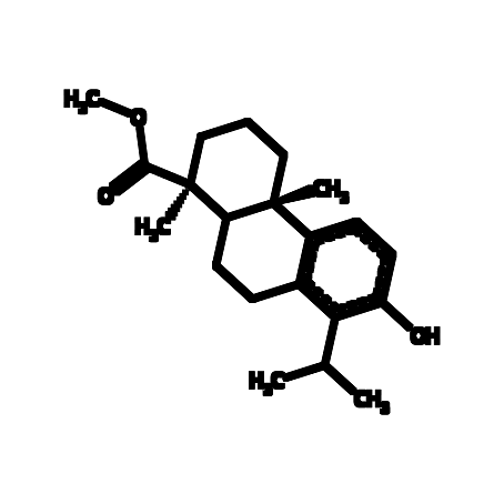 COC(=O)[C@@]1(C)CCC[C@]2(C)c3ccc(O)c(C(C)C)c3CCC12